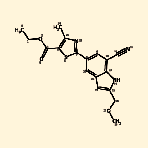 CCOC(=O)c1sc(-c2cc(C#N)c3[nH]c(COC)cc3c2)nc1C